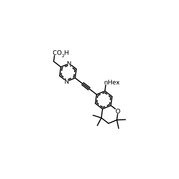 CCCCCCc1cc2c(cc1C#Cc1cnc(CC(=O)O)cn1)C(C)(C)CC(C)(C)O2